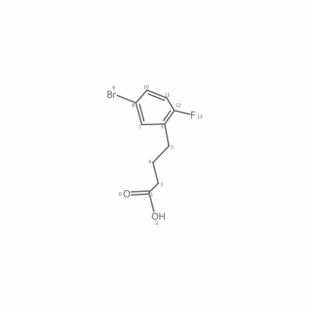 O=C(O)CCCc1cc(Br)ccc1F